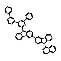 c1ccc(-c2cccc(-c3cc(-n4c5ccccc5c5cc(-c6ccc7c(c6)c6ccncc6n7-c6cccc7ccccc67)ccc54)nc(-c4ccccc4)n3)c2)cc1